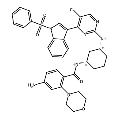 Nc1ccc(C(=O)N[C@H]2CCC[C@@H](Nc3ncc(Cl)c(-c4cn(S(=O)(=O)c5ccccc5)c5ccccc45)n3)C2)c(N2CCOCC2)c1